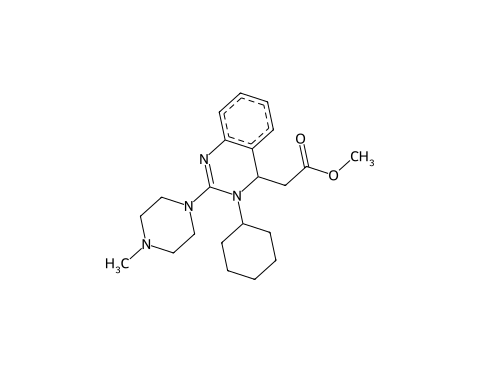 COC(=O)CC1c2ccccc2N=C(N2CCN(C)CC2)N1C1CCCCC1